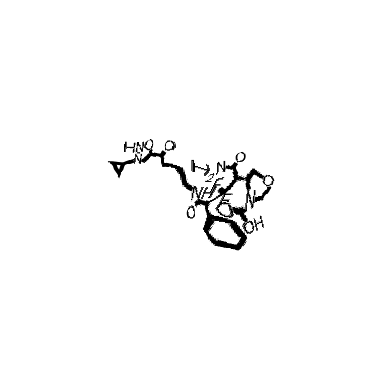 NC(=O)C([C@H]1COCCN1C(=O)O)C(F)(F)[C@H](C(=O)NCCCC(=O)C1=CN(C2CC2)NO1)c1ccccc1